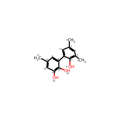 Cc1cc(C)c(O)c(-c2cc(C)cc(O)c2O)c1